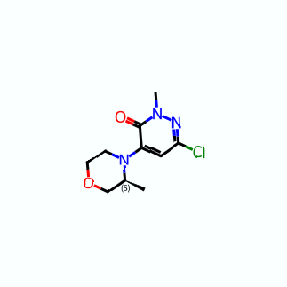 C[C@H]1COCCN1c1cc(Cl)nn(C)c1=O